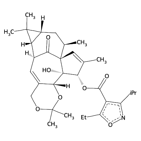 CCc1onc(C(C)C)c1C(=O)O[C@H]1C(C)=C[C@]23C(=O)[C@@H](C=C4COC(C)(C)O[C@H]4[C@]12O)[C@H]1[C@@H](C[C@H]3C)C1(C)C